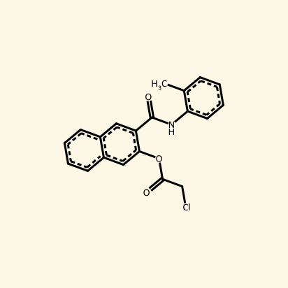 Cc1ccccc1NC(=O)c1cc2ccccc2cc1OC(=O)CCl